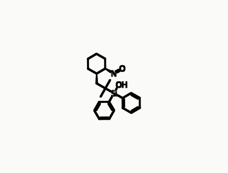 CC(C)(C[C@H]1CCCC[C@H]1N=O)[Si](O)(c1ccccc1)c1ccccc1